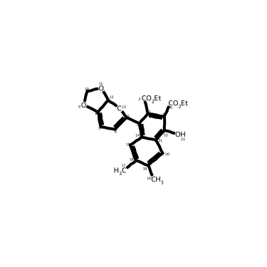 CCOC(=O)c1c(C(=O)OCC)c(C2=CC=C3OCOC3C2)c2cc(C)c(C)cc2c1O